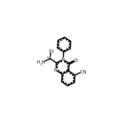 CC[C@H](N)c1nc2cccc(C#N)c2c(=O)n1-c1ccccc1